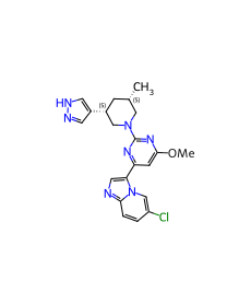 COc1cc(-c2cnc3ccc(Cl)cn23)nc(N2C[C@@H](C)C[C@@H](c3cn[nH]c3)C2)n1